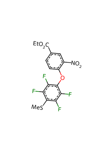 CCOC(=O)c1ccc(Oc2c(F)c(F)c(SC)c(F)c2F)c([N+](=O)[O-])c1